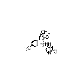 CN1C[C@@H](c2ccc(C(F)(F)F)cc2)[C@H](C(=O)Nc2ccnc(Cl)n2)C1=O